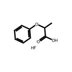 CC(Oc1ccccc1)C(=O)O.F